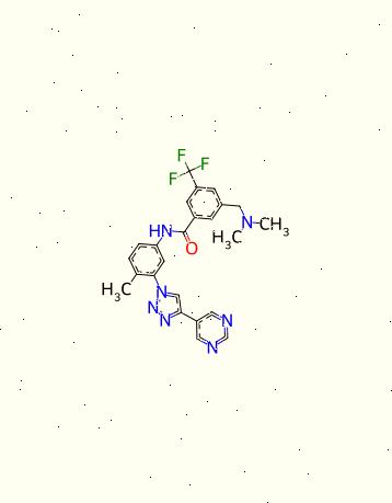 Cc1ccc(NC(=O)c2cc(CN(C)C)cc(C(F)(F)F)c2)cc1-n1cc(-c2cncnc2)nn1